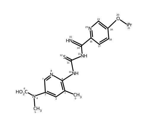 Cc1cc(N(C)C(=O)O)cnc1NC(=S)NC(=N)c1ccc(OC(C)C)cn1